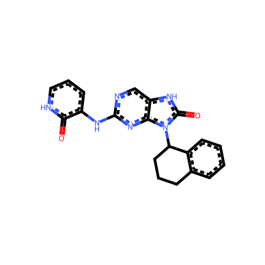 O=c1[nH]cccc1Nc1ncc2[nH]c(=O)n(C3CCCc4ccccc43)c2n1